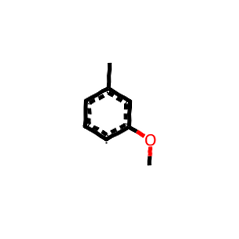 COc1[c]ccc(C)c1